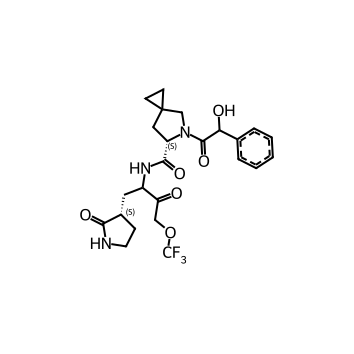 O=C(COC(F)(F)F)C(C[C@@H]1CCNC1=O)NC(=O)[C@@H]1CC2(CC2)CN1C(=O)C(O)c1ccccc1